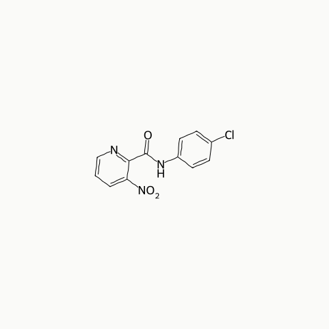 O=C(Nc1ccc(Cl)cc1)c1ncccc1[N+](=O)[O-]